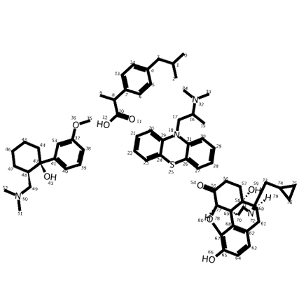 CC(C)Cc1ccc(C(C)C(=O)O)cc1.CC(CN1c2ccccc2Sc2ccccc21)N(C)C.COc1cccc([C@@]2(O)CCCC[C@@H]2CN(C)C)c1.O=C1CC[C@@]2(O)[C@H]3Cc4ccc(O)c5c4[C@@]2(CCN3CC2CC2)[C@H]1O5